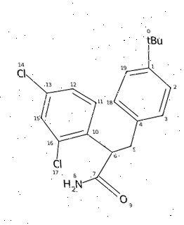 CC(C)(C)c1ccc(CC(C(N)=O)c2ccc(Cl)cc2Cl)cc1